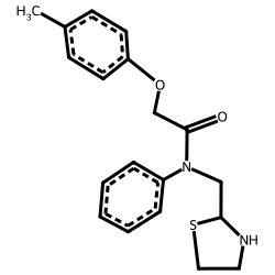 Cc1ccc(OCC(=O)N(CC2NCCS2)c2ccccc2)cc1